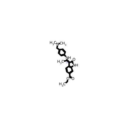 CCOC(=O)c1ccc2c(c1)NC(=O)/C2=C(/C)Nc1ccc(CN(C)C)cc1